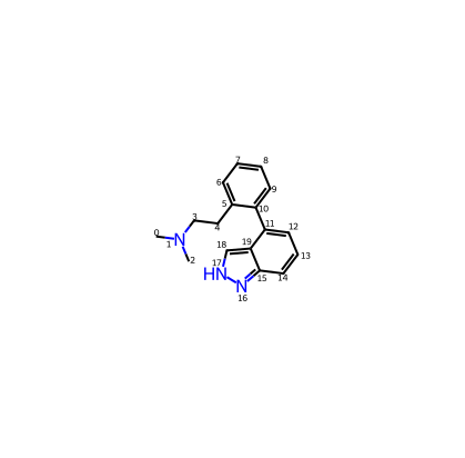 CN(C)CCc1ccccc1-c1cccc2n[nH]cc12